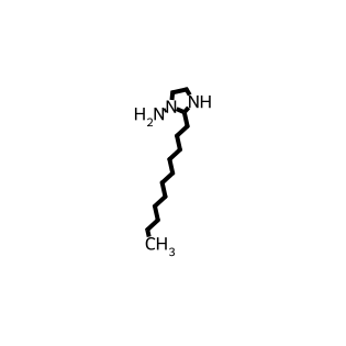 CCCCCCCCCCCC1NCCN1N